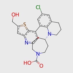 O=C(O)N1CCC[C@H](N2CCCc3cc(Cl)cc(-c4ccnc5cc(CO)sc45)c32)CC1